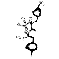 CC(C)(C)S(=O)(=O)N[C@@H](Cc1ccc([N+](=O)[O-])cc1)C(=O)N[C@@H](Cc1ccc(F)cc1)C(=O)O